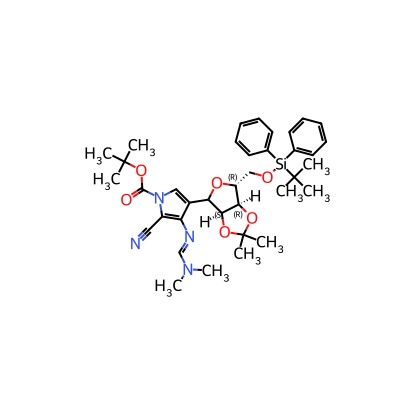 CN(C)C=Nc1c(C2O[C@H](CO[Si](c3ccccc3)(c3ccccc3)C(C)(C)C)[C@H]3OC(C)(C)O[C@@H]23)cn(C(=O)OC(C)(C)C)c1C#N